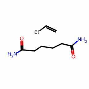 C=CCC.NC(=O)CCCCC(N)=O